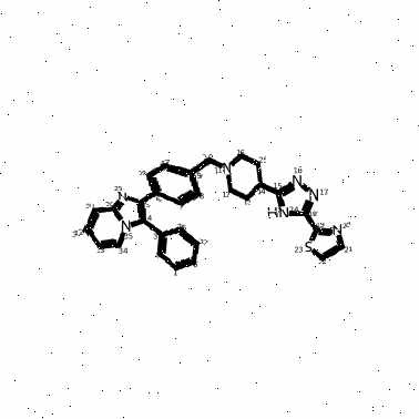 c1ccc(-c2c(-c3ccc(CN4CCC(c5nnc(-c6nccs6)[nH]5)CC4)cc3)nc3ccccn23)cc1